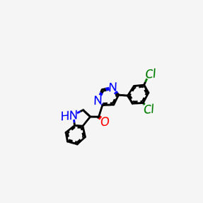 O=C(c1cc(-c2cc(Cl)cc(Cl)c2)ncn1)C1CNc2ccccc21